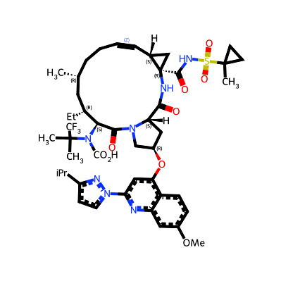 CC[C@@H]1C[C@H](C)CC/C=C\[C@@H]2C[C@@]2(C(=O)NS(=O)(=O)C2(C)CC2)NC(=O)[C@@H]2C[C@@H](Oc3cc(-n4ccc(C(C)C)n4)nc4cc(OC)ccc34)CN2C(=O)[C@H]1N(C(=O)O)C(C)(C)C(F)(F)F